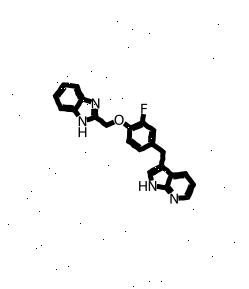 Fc1cc(Cc2c[nH]c3ncccc23)ccc1OCc1nc2ccccc2[nH]1